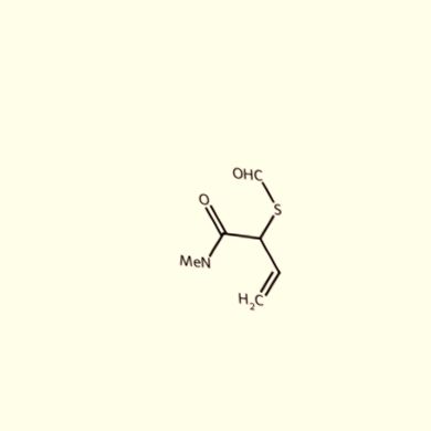 C=CC(SC=O)C(=O)NC